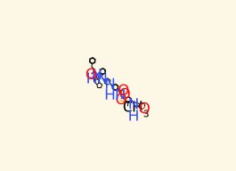 Cc1cc(S(=O)(=O)NC(=O)c2ccc(N3CCC(Nc4ccccc4N(C(=O)CCc4ccccc4)C4CC5CC4C4CCCC54)CC3)cc2)ccc1NCC1CCOCC1